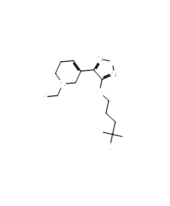 CCC(F)(F)CCCOc1nsnc1C1=CCCN(CF)C1